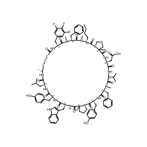 CCCC[C@H]1C(=O)N2CSC[C@@H]2C(=O)N[C@@H](CC(=O)O)C(=O)N[C@@H](C(C)C)C(=O)N(C)[C@@H](Cc2ccccc2)C(=O)N[C@@H](Cc2ccc(O)cc2)C(=O)N2CCC[C@@H]2C(=O)N[C@@H](Cc2c[nH]c3ccccc23)C(=O)N[C@@H](Cc2ccc(O)cc2)C(=O)N[C@@H](CC(C)C)C(=O)N[C@H](C)CSCC(=O)N[C@@H](Cc2cc(F)c(F)c(F)c2)C(=O)N(C)[C@@H](Cc2ccccc2)C(=O)N1C